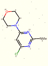 CNc1nc(Cl)cc(N2CCOCC2)n1